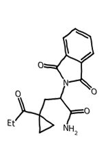 CCC(=O)C1(CC(C(N)=O)N2C(=O)c3ccccc3C2=O)CC1